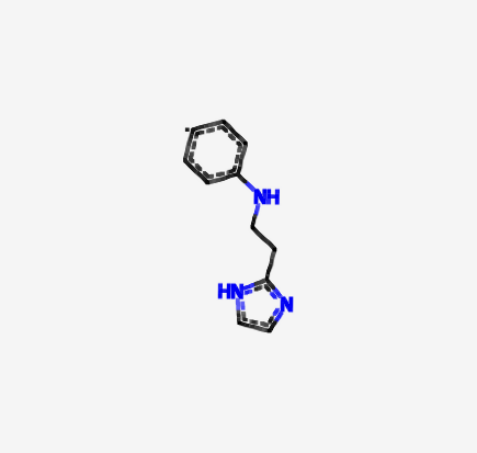 [c]1ccc(NCCc2ncc[nH]2)cc1